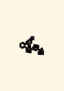 OC1(c2cn(-c3nnc4n3C3=CN(Cl)CN3c3ccccc3-4)nn2)CC1